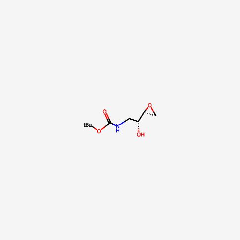 CC(C)(C)OC(=O)NC[C@@H](O)[C@H]1CO1